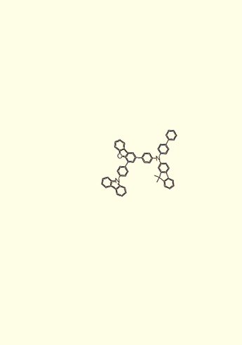 CC1(C)c2ccccc2-c2ccc(N(c3ccc(-c4ccccc4)cc3)c3ccc(-c4cc(-c5ccc(-n6c7ccccc7c7ccccc76)cc5)c5oc6ccccc6c5c4)cc3)cc21